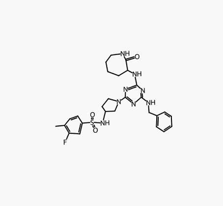 Cc1ccc(S(=O)(=O)NC2CCN(c3nc(NCc4ccccc4)nc(NC4CCCCNC4=O)n3)C2)cc1F